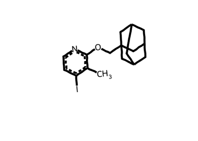 Cc1c(I)ccnc1OCC12CC3CC(CC(C3)C1)C2